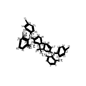 CCc1cccc(CC)c1N(c1ccc(C)cc1)c1ccc2c(c1)C(C)(C)c1cc(N(c3ccc(C)cc3)c3c(CC)cccc3CC)ccc1-2